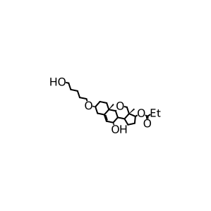 CCC(=O)OC1CCC2C3C(OC[C@]12C)[C@@]1(C)CC[C@H](OCCCCCO)CC1=C[C@@H]3O